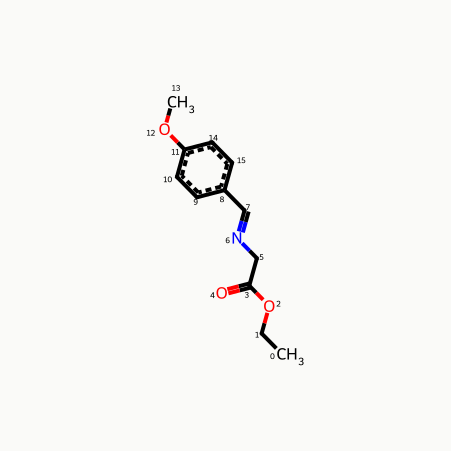 CCOC(=O)CN=Cc1ccc(OC)cc1